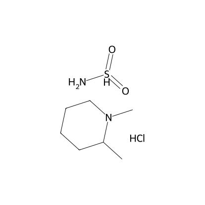 CC1CCCCN1C.Cl.N[SH](=O)=O